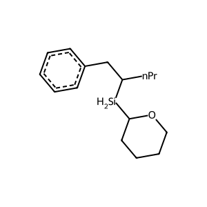 CCCC(Cc1ccccc1)[SiH2]C1CCCCO1